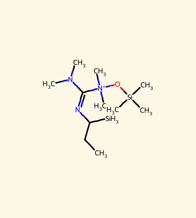 CCC([SiH3])N=C(N(C)C)[N+](C)(C)O[Si](C)(C)C